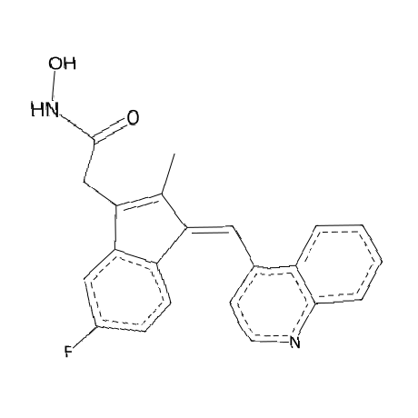 CC1=C(CC(=O)NO)c2cc(F)ccc2/C1=C\c1ccnc2ccccc12